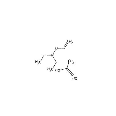 C=CON(CC)CC.CC(=O)O.[OH]